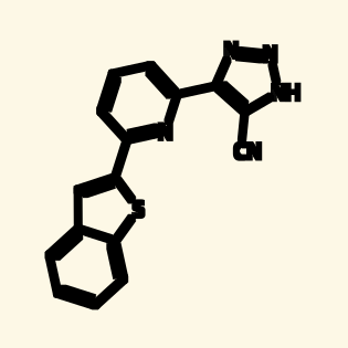 N#Cc1[nH]nnc1-c1cccc(-c2cc3ccccc3s2)n1